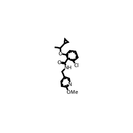 COc1ccc(CNC(=O)c2c(Cl)cccc2OC(C)C2CC2)cn1